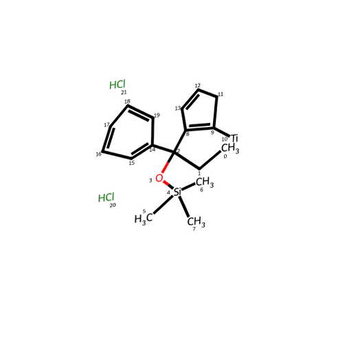 CCC(O[Si](C)(C)C)(C1=[C]([Ti])CC=C1)c1ccccc1.Cl.Cl